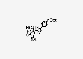 CCCCCCCCc1ccc(-c2cnc(C(C)(CO)NC(=O)OC(C)(C)C)[nH]2)cc1